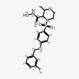 CC1SCCN(S(=O)(=O)c2ccc(OCc3cccc(F)c3)cc2)C1C(=O)NO